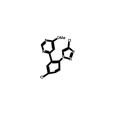 COc1cc(-c2cc(Cl)ccc2-n2cc(Cl)nn2)ncn1